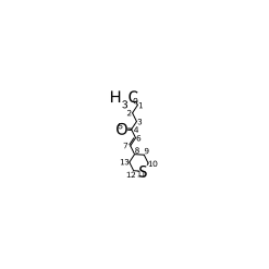 CCCCC(=O)C=CC1CCSCC1